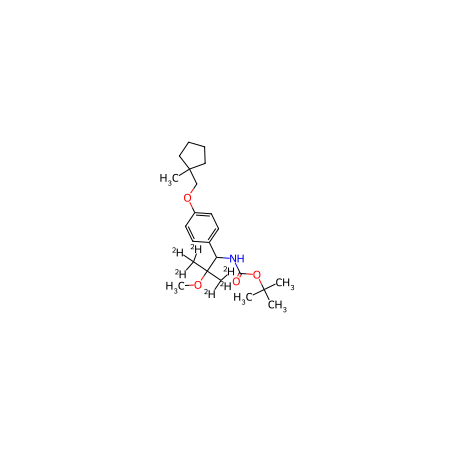 [2H]C([2H])([2H])C(OC)(C(NC(=O)OC(C)(C)C)c1ccc(OCC2(C)CCCC2)cc1)C([2H])([2H])[2H]